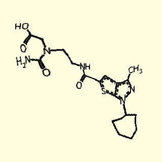 Cc1nn(C2CCCCC2)c2sc(C(=O)NCCN(CC(=O)O)C(N)=O)cc12